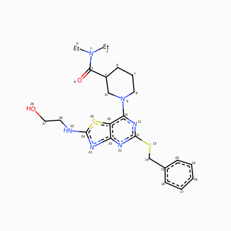 CCN(CC)C(=O)C1CCCN(c2nc(SCc3ccccc3)nc3nc(NCCO)sc23)C1